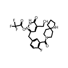 CCc1cc(Cc2ccc(F)c(C(=O)N3CCC4(CCCN4)CC3)c2)[n+](OC(=O)C(F)(F)F)[nH]c1=O